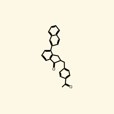 CC(=O)c1ccc(CC2Cc3c(cccc3-c3ccc4ccccc4c3)C2=O)cc1